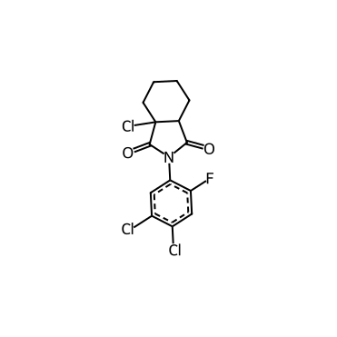 O=C1C2CCCCC2(Cl)C(=O)N1c1cc(Cl)c(Cl)cc1F